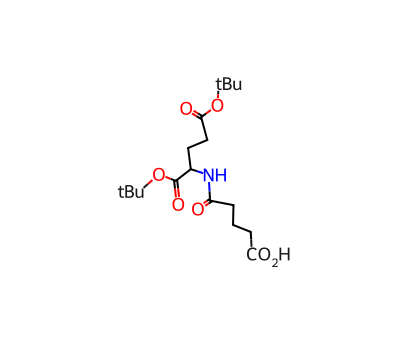 CC(C)(C)OC(=O)CCC(NC(=O)CCCC(=O)O)C(=O)OC(C)(C)C